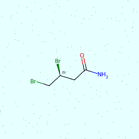 NC(=O)C[C@H](Br)CBr